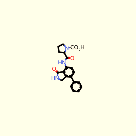 O=C1NCc2c(-c3ccccc3)ccc(NC(=O)C3CCCN3C(=O)O)c21